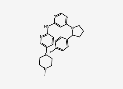 CN1CCN(c2ccc(Nc3cc(N4CCCC4c4ccc(F)cc4)ncn3)nc2)CC1